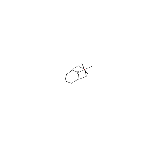 CC(C)(C)P1C2CCCC1CCC2